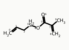 C=CC[SiH2]OC(=O)C(=C)C